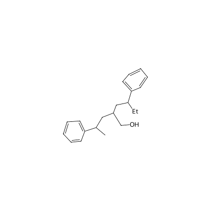 CCC(CC(CO)CC(C)c1ccccc1)c1ccccc1